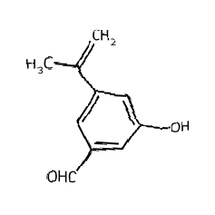 C=C(C)c1cc(O)cc(C=O)c1